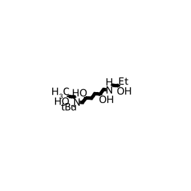 CCC(O)CNCC(O)CCC(O)CN(CC(C)O)C(C)(C)C